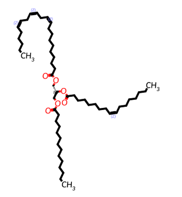 CCCCC/C=C\C/C=C\C/C=C\CCCCCCCCC(=O)OC[C@@H](COC(=O)CCCCCCCCCCCCC)OC(=O)CCCCCCC/C=C\CCCCCCC